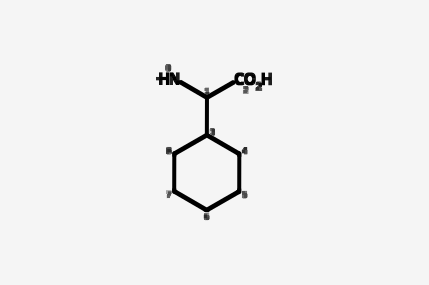 [NH]C(C(=O)O)C1CCCCC1